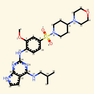 COc1cc(S(=O)(=O)N2CCC(N3CCOCC3)CC2)ccc1Nc1nc(NCC(C)C)c2cc[nH]c2n1